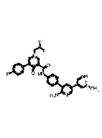 CN/C=C(\C=N)c1cnc(N)c(-c2ccc(NC(=O)c3cn(CC(F)F)cc(-c4ccc(F)cc4)c3=O)cc2)c1